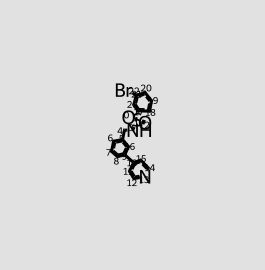 O=S(=O)(NCc1cccc(-c2ccncc2)c1)c1cccc(Br)c1